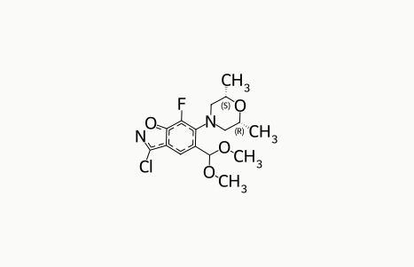 COC(OC)c1cc2c(Cl)noc2c(F)c1N1C[C@@H](C)O[C@@H](C)C1